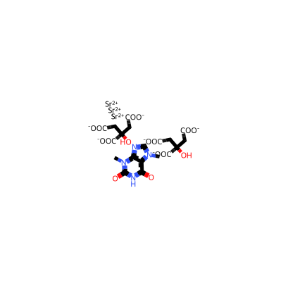 Cn1cnc2c1c(=O)[nH]c(=O)n2C.O=C([O-])CC(O)(CC(=O)[O-])C(=O)[O-].O=C([O-])CC(O)(CC(=O)[O-])C(=O)[O-].[Sr+2].[Sr+2].[Sr+2]